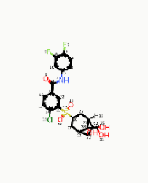 O=C(Nc1ccc(F)c(F)c1)c1ccc(Cl)c(S(=O)(=O)[C@@H]2CC3C[C@@H](O)[C@@H](C2)[C@@]3(O)CO)c1